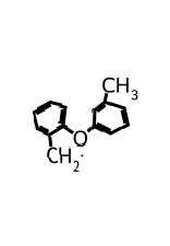 [CH2]c1ccccc1Oc1cccc(C)c1